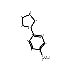 O=C(O)c1ccc(N2CCSC2)cc1